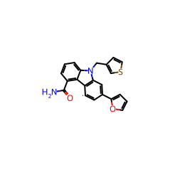 NC(=O)c1cccc2c1c1[c]cc(-c3ccco3)cc1n2Cc1ccsc1